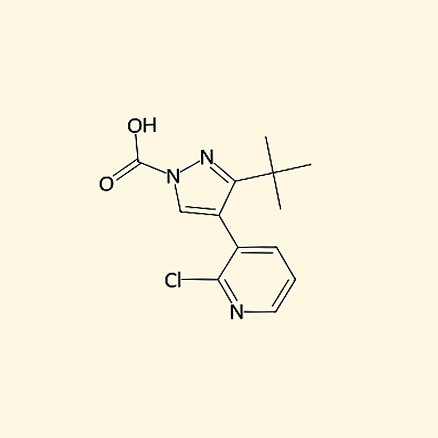 CC(C)(C)c1nn(C(=O)O)cc1-c1cccnc1Cl